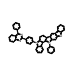 c1ccc(-c2nc(-c3ccc(-n4c5ccccc5c5c4ccc4c6cc7c(cc6n(-c6ccccc6)c45)oc4ccccc47)cc3)nc3ccccc23)cc1